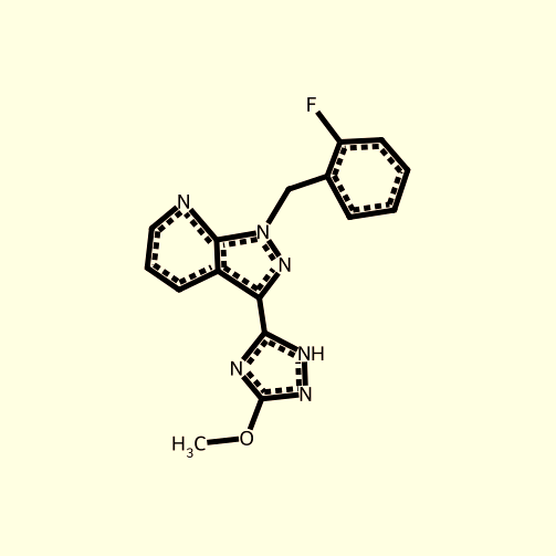 COc1n[nH]c(-c2nn(Cc3ccccc3F)c3ncccc23)n1